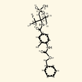 O=C(Nc1ccc(C(=O)NC(CS(=O)(=O)O)(C(F)(F)F)C(F)(F)F)cc1I)OCc1ccccc1